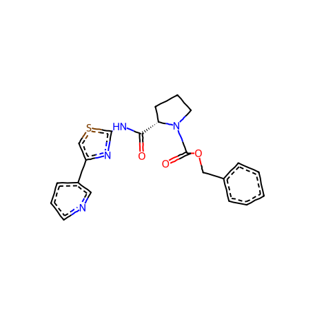 O=C(Nc1nc(-c2cccnc2)cs1)[C@@H]1CCCN1C(=O)OCc1ccccc1